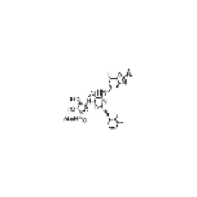 CNC(=O)[C@H]1O[C@@H](n2cnc3c(NCc4cc(I)c5oc(N(C)C)nc5c4)nc(C#Cc4cccc(C)c4C)nc32)[C@@H](O)C1O